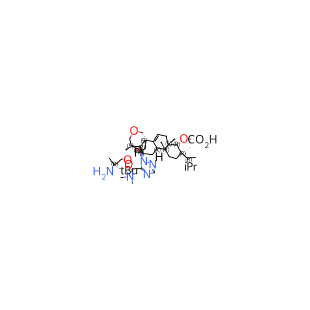 CC(C)[C@@H](C)[C@@]1(C)CC[C@]2(C)[C@H]3CC[C@@H]4[C@@]5(COC[C@@]4(C)[C@@H](OC[C@](C)(N)C(C)(C)C)[C@H](n4ncnc4C(=O)N(C)C)C5)C3=CC[C@]2(C)[C@@H]1OC(=O)O